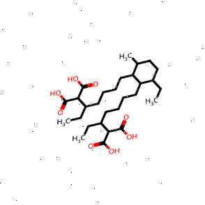 CCC(CCCCC1C(C)CCC(CC)C1CCCCC(CC)C(C(=O)O)C(=O)O)C(C(=O)O)C(=O)O